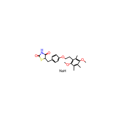 COc1c(C)c(C)c(OC)c(CCOc2ccc(CC3SC(=O)NC3=O)cc2)c1C.[NaH]